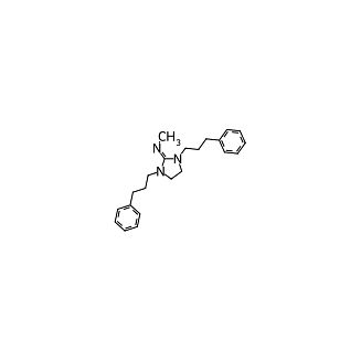 CN=C1N(CCCc2ccccc2)CCN1CCCc1ccccc1